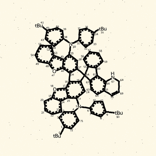 CC(C)(C)c1ccc(N(c2ccc(C(C)(C)C)cc2)c2cc3c(c4oc5ccccc5c24)-c2c(cc(N(c4ccc(C(C)(C)C)cc4)c4ccc(C(C)(C)C)cc4)c4c2oc2ccccc24)C32c3ccccc3-c3c2ccc2c3NCC=C2)cc1